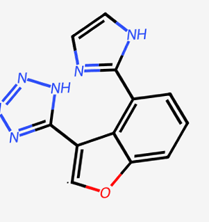 [c]1oc2cccc(-c3ncc[nH]3)c2c1-c1nnn[nH]1